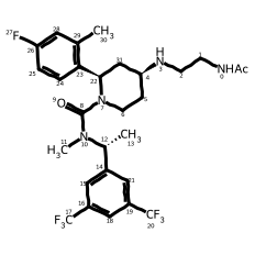 CC(=O)NCCN[C@H]1CCN(C(=O)N(C)[C@H](C)c2cc(C(F)(F)F)cc(C(F)(F)F)c2)[C@@H](c2ccc(F)cc2C)C1